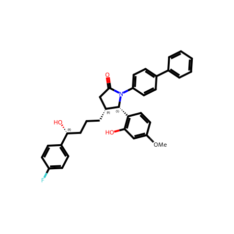 COc1ccc([C@@H]2[C@H](CCC[C@@H](O)c3ccc(F)cc3)CC(=O)N2c2ccc(-c3ccccc3)cc2)c(O)c1